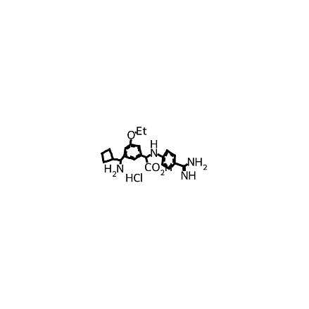 CCOc1cc(C(Nc2ccc(C(=N)N)cc2)C(=O)O)cc(C(N)C2CCC2)c1.Cl